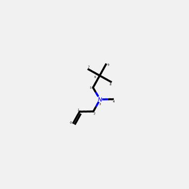 C=CCN(C)CC(C)(C)C